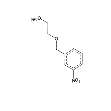 COCCOCc1cccc([N+](=O)[O-])c1